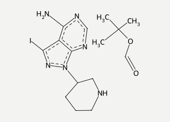 CC(C)(C)OC=O.Nc1ncnc2c1c(I)nn2C1CCCNC1